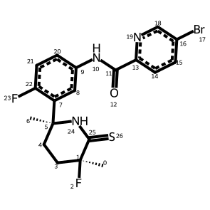 C[C@]1(F)CC[C@@](C)(c2cc(NC(=O)c3ccc(Br)cn3)ccc2F)NC1=S